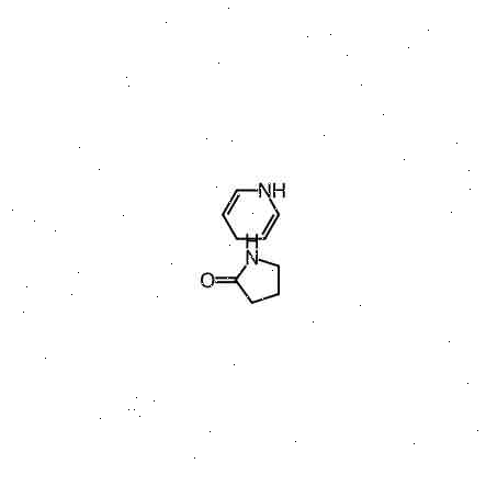 C1=CNC=CC1.O=C1CCCN1